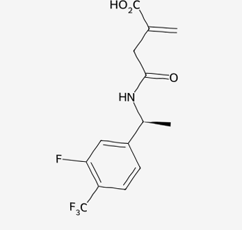 C=C(CC(=O)N[C@@H](C)c1ccc(C(F)(F)F)c(F)c1)C(=O)O